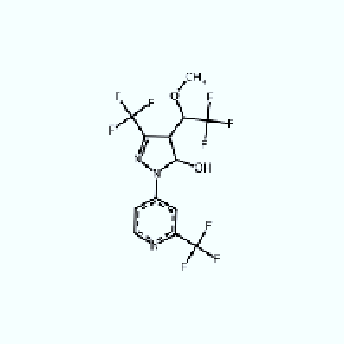 COC(C1C(C(F)(F)F)=NN(c2ccnc(C(F)(F)F)c2)C1O)C(F)(F)F